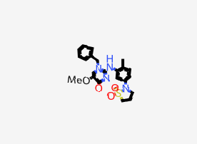 COc1cn(Cc2ccccc2)c(Nc2cc(N3CCCS3(=O)=O)ccc2C)nc1=O